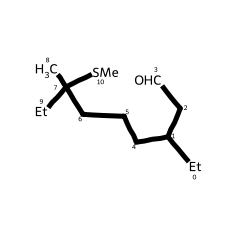 CCC(CC=O)CCCC(C)(CC)SC